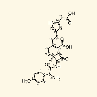 Cc1ccc(C(N)C(=O)NC2C(=O)N3C(C(=O)O)=C(CSc4n[nH]c(CC(=O)O)n4)CS[C@H]23)cc1